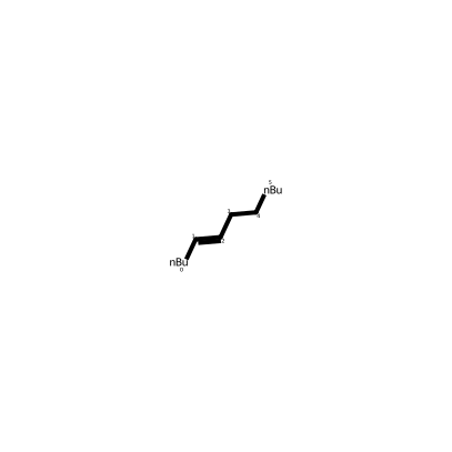 CCCCC=CCCCCCC